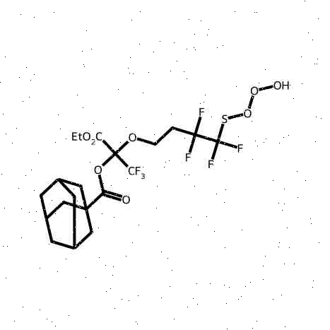 CCOC(=O)C(OCCC(F)(F)C(F)(F)SOOO)(OC(=O)C12CC3CC(CC(C3)C1)C2)C(F)(F)F